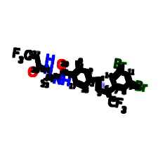 Cc1cc(/C=C/C(c2cc(Br)cc(Br)c2)C(F)(F)F)ccc1C(=O)N[C@H](C)NC(=O)CC(F)(F)F